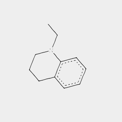 CCN1[C]CCc2ccccc21